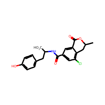 CC1Cc2c(Cl)cc(C(=O)NC(Cc3ccc(O)cc3)C(=O)O)cc2C(=O)O1